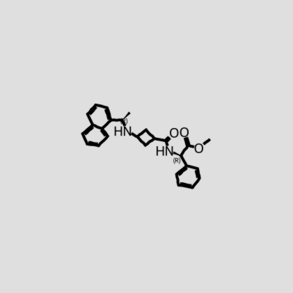 COC(=O)[C@H](NC(=O)C1CC(N[C@H](C)c2cccc3ccccc23)C1)c1ccccc1